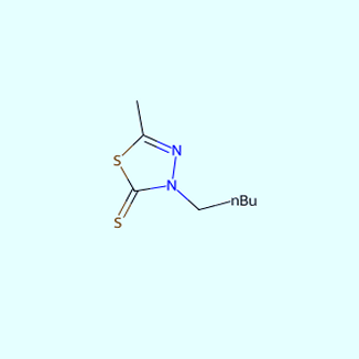 CCCCCn1nc(C)sc1=S